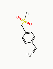 C=Cc1ccc(CS(=O)(=O)CC)cc1